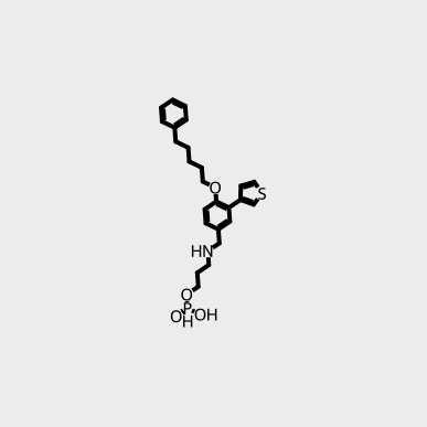 O=[PH](O)OCCCNCc1ccc(OCCCCCc2ccccc2)c(-c2ccsc2)c1